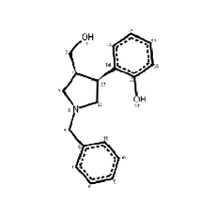 OC[C@@H]1CN(Cc2ccccc2)C[C@@H]1c1ccccc1O